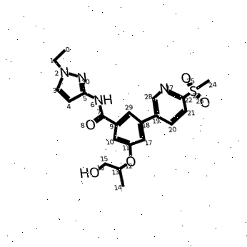 CCn1ccc(NC(=O)c2cc(OC(C)CO)cc(-c3ccc(S(C)(=O)=O)nc3)c2)n1